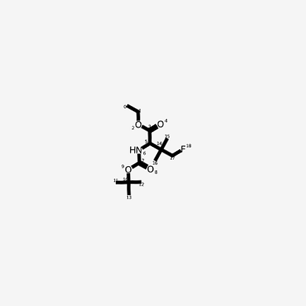 CCOC(=O)C(NC(=O)OC(C)(C)C)C(C)(C)CF